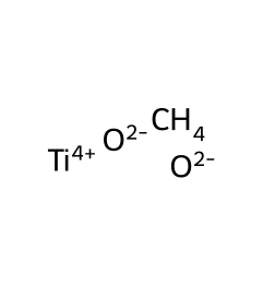 C.[O-2].[O-2].[Ti+4]